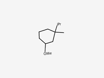 COC1CCCC(C)(C(C)C)C1